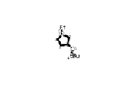 CCN1CCC(OC(C)(C)C)C1